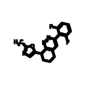 Cc1ncc(C2CCCc3cc(-c4c(F)cccc4F)nnc32)o1